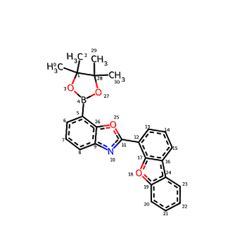 CC1(C)OB(c2cccc3nc(-c4cccc5c4oc4ccccc45)oc23)OC1(C)C